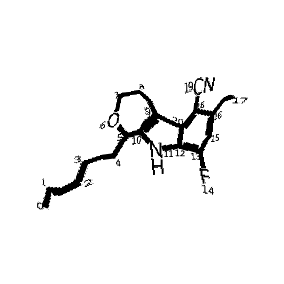 C/C=C/CC[C]1OCCc2c1[nH]c1c(F)cc(C)c(C#N)c21